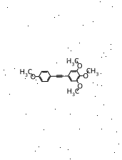 COc1ccc(C#Cc2cc(OC)c(OC)c(OC)c2)cc1